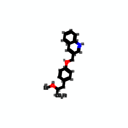 CCOC(=O)C(Cc1ccc(OCc2cnc3ccccc3c2)cc1)OCC